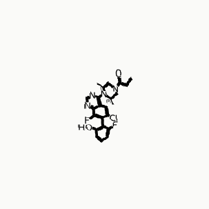 C=CC(=O)N1C[C@@H](C)N(c2ncnc3c(F)c(-c4c(O)cccc4F)c(Cl)cc23)[C@@H](C)C1